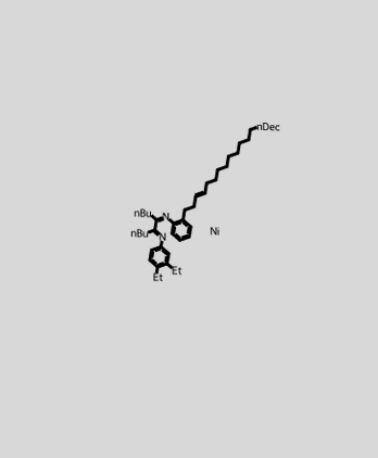 CCCCCCCCCCCCCCCCCCCC=CCCc1ccccc1N=C(CCCC)C(CCCC)=Nc1ccc(CC)c(CC)c1.[Ni]